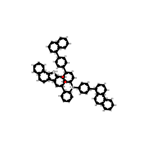 c1ccc(N(c2ccc(-c3ccc(-c4cccc5ccccc45)cc3)cc2)c2ccc(-c3cccc4c3ccc3ccccc34)cc2)c(-c2ccc3oc4c5ccccc5ccc4c3c2)c1